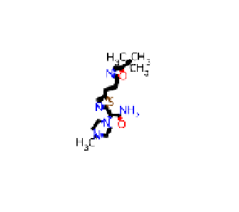 CN1CCN(C(C(N)=O)c2ncc(C=Cc3ncc(C(C)(C)C)o3)s2)CC1